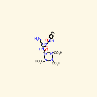 CC(=O)c1ccc(NC(=O)CNC(=O)[C@H](CCCCN)NC(=O)CN2CCN(CC(=O)O)CCN(CC(=O)O)CCN(CC(=O)O)CC2)cc1